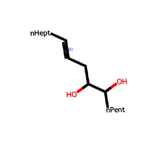 [CH2]CCCCCC/C=C/CC(O)C(O)CCCCC